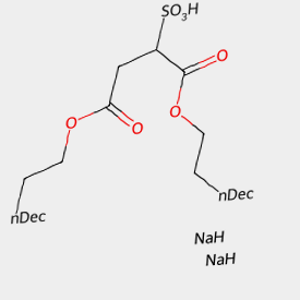 CCCCCCCCCCCCOC(=O)CC(C(=O)OCCCCCCCCCCCC)S(=O)(=O)O.[NaH].[NaH]